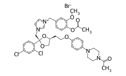 COc1cc(C[n+]2ccn(C[C@]3(c4ccc(Cl)cc4Cl)OC[C@H](CCOc4ccc(N5CCN(C(C)=O)CC5)cc4)O3)c2)ccc1OC(C)=O.[Br-]